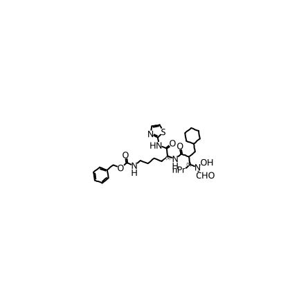 CCC[C@@H](C(CC1CCCCC1)C(=O)N[C@@H](CCCCNC(=O)OCc1ccccc1)C(=O)Nc1nccs1)N(O)C=O